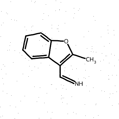 Cc1oc2ccccc2c1C=N